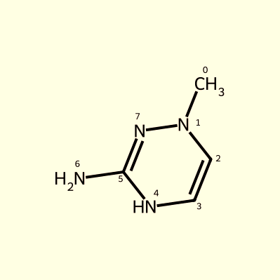 CN1C=CNC(N)=N1